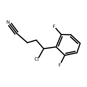 N#CCCC(Cl)c1c(F)cccc1F